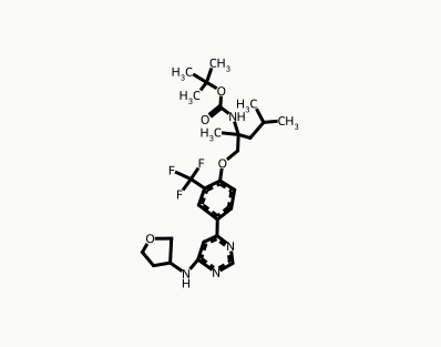 CC(C)CC(C)(COc1ccc(-c2cc(NC3CCOC3)ncn2)cc1C(F)(F)F)NC(=O)OC(C)(C)C